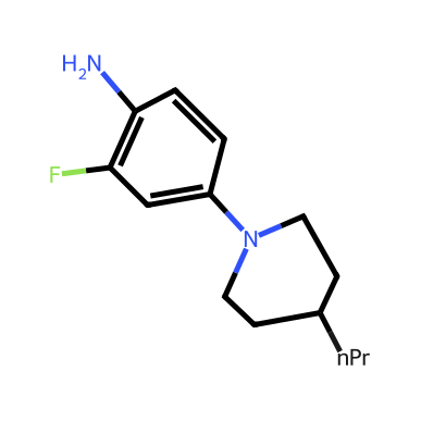 CCCC1CCN(c2ccc(N)c(F)c2)CC1